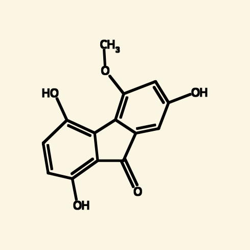 COc1cc(O)cc2c1-c1c(O)ccc(O)c1C2=O